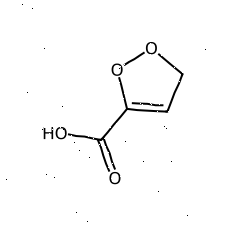 O=C(O)C1=CCOO1